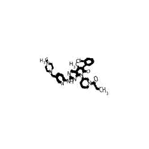 CCC(=O)N1CCCC(n2c(=O)c(-c3ccccc3Cl)c(C)c3cnc(Nc4ccc(CN5CCN(C)CC5)cn4)nc32)C1